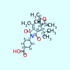 CC(C)=C1C(=O)N(c2ccc(C(=O)O)cc2)C(=O)C1=C(c1cc(C)oc1C)C(C)C